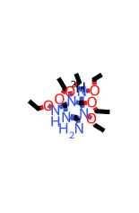 [2H]N(OCC)C1(OCC)N(OCC)C(N)=NC(NOCC)(OCC)N1OCC